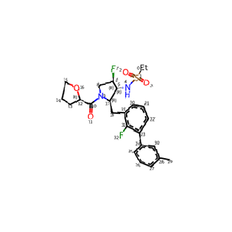 CCS(=O)(=O)N[C@H]1[C@H](F)CN(C(=O)[C@H]2CCCO2)[C@@H]1Cc1cccc(-c2cccc(C)c2)c1F